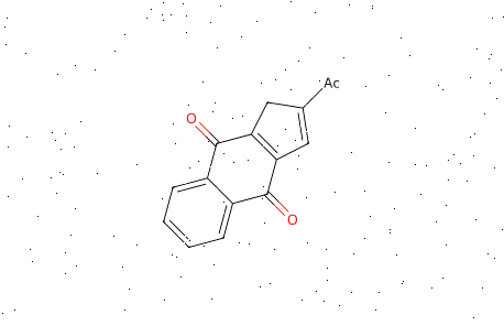 CC(=O)C1=CC2=C(C1)C(=O)c1ccccc1C2=O